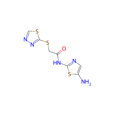 Nc1cnc(NC(=O)CSc2nncs2)s1